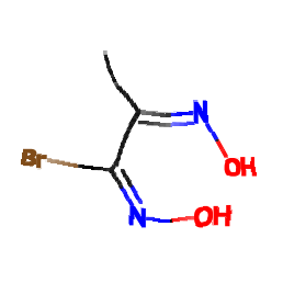 CC(=N/O)/C(Br)=N\O